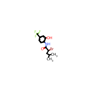 CC(C)CC(Br)C(=O)Nc1ccc(C(F)(F)F)cc1O